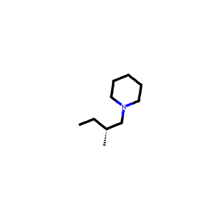 CC[C@@H](C)CN1CCCCC1